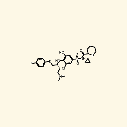 CN(C)CC[C@H](CSc1ccc(F)cc1)Nc1c(Cl)cc(S(=O)(=O)NC(=O)[C@@]2(C3CC3)CCCCO2)cc1C#N